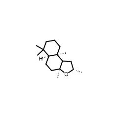 C[C@H]1CC2[C@]3(C)CCCC(C)(C)[C@@H]3CC[C@]2(C)O1